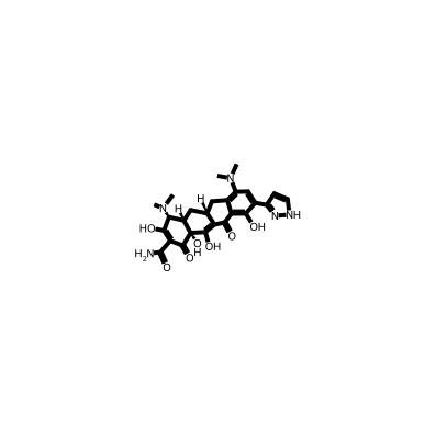 CN(C)c1cc(-c2cc[nH]n2)c(O)c2c1C[C@H]1C[C@H]3[C@H](N(C)C)C(O)=C(C(N)=O)C(=O)[C@@]3(O)C(O)=C1C2=O